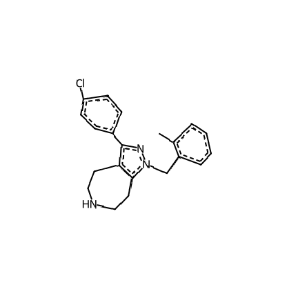 Cc1ccccc1Cn1nc(-c2ccc(Cl)cc2)c2c1CCNCC2